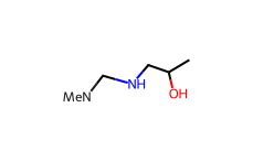 CNCNCC(C)O